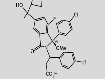 CO[C@]1(c2ccc(Cl)cc2)c2c(F)cc(C(C)(O)C3CCC3)cc2C(=O)N1C(CC(=O)O)c1ccc(Cl)cc1